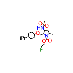 CC(C)C1CCC(OC[C@H]2[C@@H](NS(C)(=O)=O)C[C@@H](C)N2C(=O)OCCF)CC1